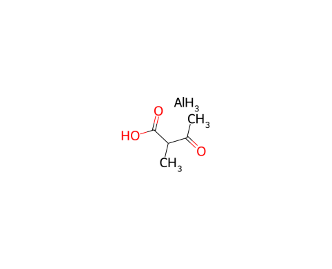 CC(=O)C(C)C(=O)O.[AlH3]